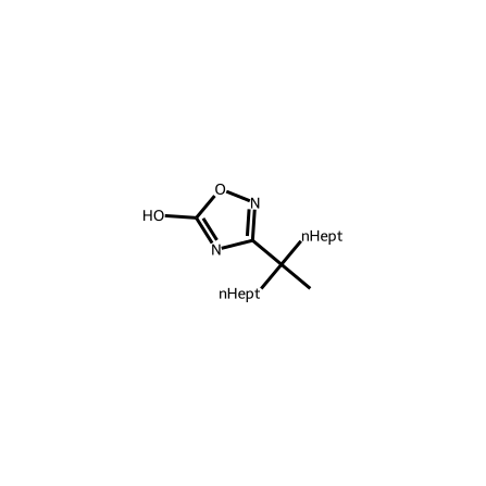 CCCCCCCC(C)(CCCCCCC)c1noc(O)n1